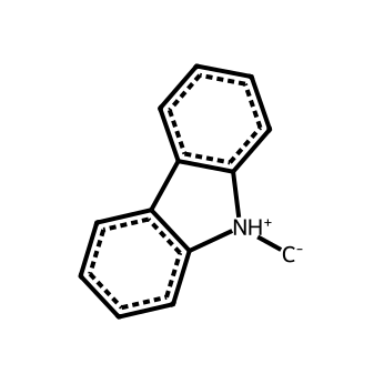 [CH2-][NH+]1c2ccccc2-c2ccccc21